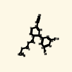 CCOCOc1ccc(C#N)cc1-c1cc(F)cc(F)c1